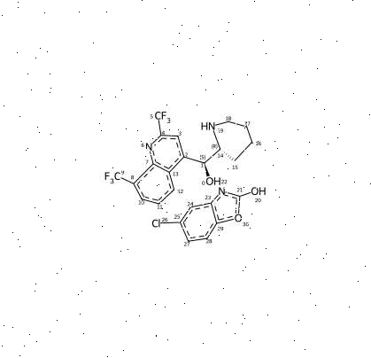 O[C@@H](c1cc(C(F)(F)F)nc2c(C(F)(F)F)cccc12)[C@H]1CCCCN1.Oc1nc2cc(Cl)ccc2o1